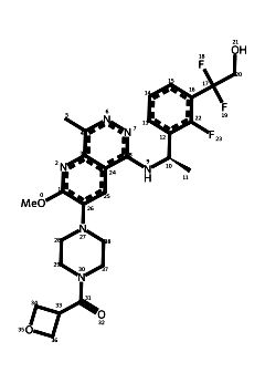 COc1nc2c(C)nnc(N[C@H](C)c3cccc(C(F)(F)CO)c3F)c2cc1N1CCN(C(=O)C2COC2)CC1